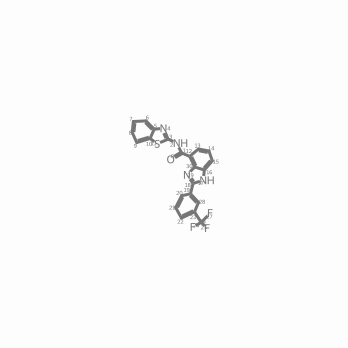 O=C(Nc1nc2ccccc2s1)c1cccc2[nH]c(-c3cccc(C(F)(F)F)c3)nc12